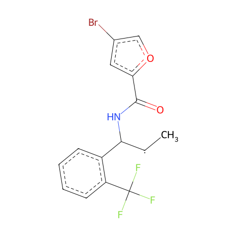 C[CH]C(NC(=O)c1cc(Br)co1)c1ccccc1C(F)(F)F